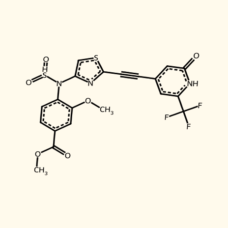 COC(=O)c1ccc(N(c2csc(C#Cc3cc(C(F)(F)F)[nH]c(=O)c3)n2)[SH](=O)=O)c(OC)c1